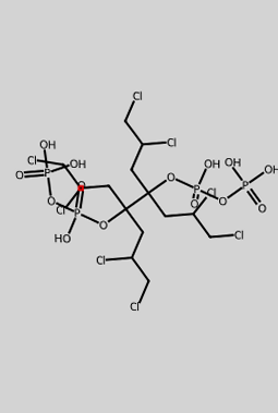 O=P(O)(O)OP(=O)(O)OC(CC(Cl)CCl)(CC(Cl)CCl)C(CC(Cl)CCl)(CC(Cl)CCl)OP(=O)(O)OP(=O)(O)O